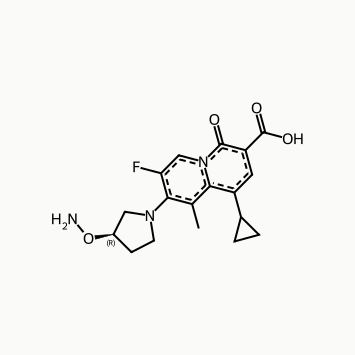 Cc1c(N2CC[C@@H](ON)C2)c(F)cn2c(=O)c(C(=O)O)cc(C3CC3)c12